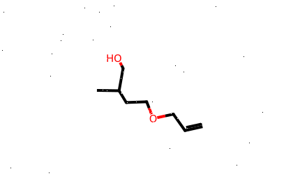 C=CCOCCC(C)CO